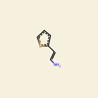 N/C=C/c1cccs1